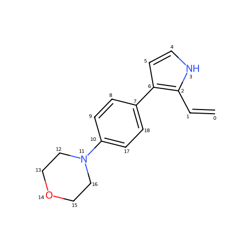 C=Cc1[nH]ccc1-c1ccc(N2CCOCC2)cc1